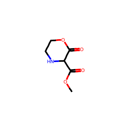 COC(=O)C1NCCOC1=O